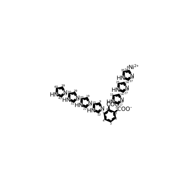 O=C([O-])c1ccccc1C(=O)[O-].[Ni+2].c1c[nH]cn1.c1c[nH]cn1.c1c[nH]cn1.c1c[nH]cn1.c1c[nH]cn1.c1c[nH]cn1.c1c[nH]cn1